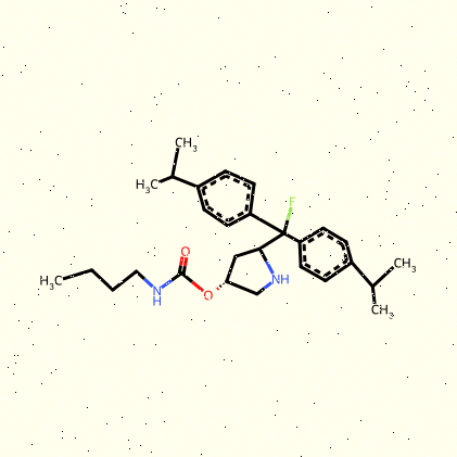 CCCCNC(=O)O[C@H]1CNC(C(F)(c2ccc(C(C)C)cc2)c2ccc(C(C)C)cc2)C1